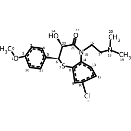 COc1ccc([C@@H]2Sc3cc(Cl)ccc3N(CCN(C)C)C(=O)[C@@H]2O)cc1